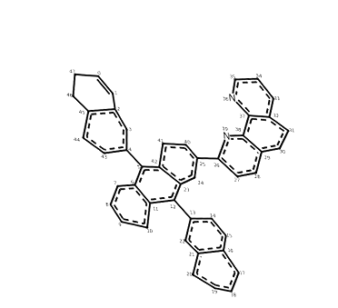 C1=Cc2cc(-c3c4ccccc4c(-c4ccc5ccccc5c4)c4cc(-c5ccc6ccc7cccnc7c6n5)ccc34)ccc2CC1